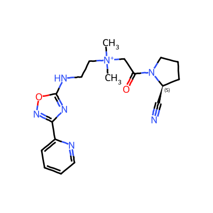 C[N+](C)(CCNc1nc(-c2ccccn2)no1)CC(=O)N1CCC[C@H]1C#N